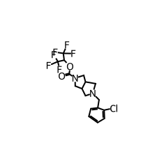 O=C(OC(C(F)(F)F)C(F)(F)F)N1CC2CN(Cc3ccccc3Cl)CC2C1